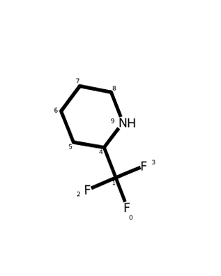 FC(F)(F)C1CCCCN1